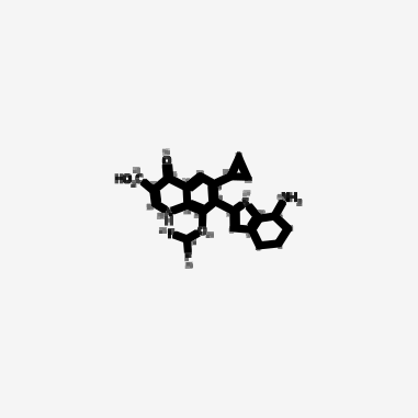 NC1CCCc2cc(-c3c(C4CC4)cc4c(=O)c(C(=O)O)c[nH]c4c3OC(F)F)sc21